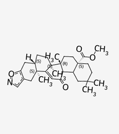 COC(=O)[C@]12CCC(C)(C)CC1C1C(=O)C=C3[C@@]4(C)Cc5cnoc5C[C@@H]4CC[C@@]3(C)[C@]1(C)CC2